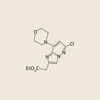 CCOC(=O)Cc1cn2nc(Cl)cc(N3CCOCC3)c2n1